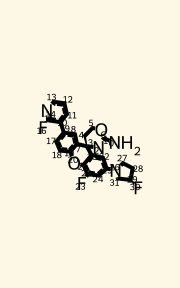 NC1=N[C@@]2(CCO1)c1cc(-c3cccnc3F)ccc1Oc1c(F)cc(N3CC[C@@H](F)C3)cc12